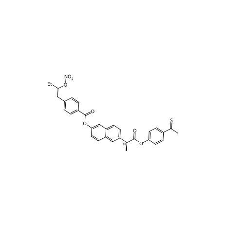 CCC(Cc1ccc(C(=O)Oc2ccc3cc([C@H](C)C(=O)Oc4ccc(C(C)=S)cc4)ccc3c2)cc1)O[N+](=O)[O-]